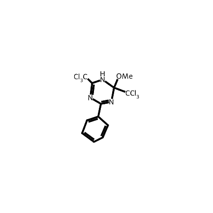 COC1(C(Cl)(Cl)Cl)N=C(c2ccccc2)N=C(C(Cl)(Cl)Cl)N1